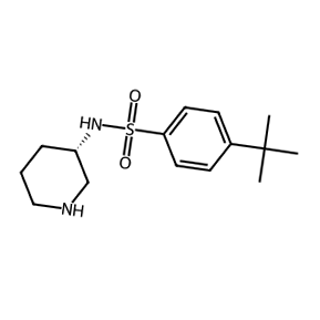 CC(C)(C)c1ccc(S(=O)(=O)N[C@H]2CCCNC2)cc1